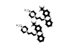 CN1CCN(CCCN2c3ccccc3Sc3ccc(C(F)(F)F)cc32)CC1.CN1CCN(CCCN2c3ccccc3Sc3ccc(C(F)(F)F)cc32)CC1